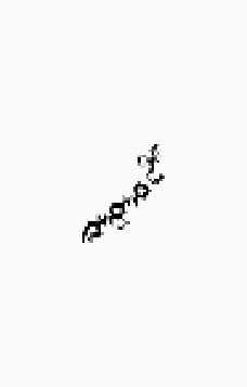 CCOC(=O)CCN(CC)c1ccc(/N=N/c2ccc(/N=N/c3ccncc3)c(OC)c2)cc1